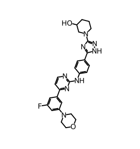 OC1CCCN(c2n[nH]c(-c3ccc(Nc4nccc(-c5cc(F)cc(N6CCOCC6)c5)n4)cc3)n2)C1